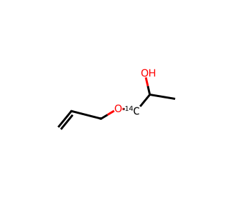 C=CCO[14CH2]C(C)O